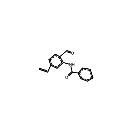 C=Cc1ccc(C=O)c(NC(=O)c2ccccc2)c1